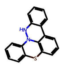 c1ccc2c(c1)NN1c3ccccc3Sc3cccc-2c31